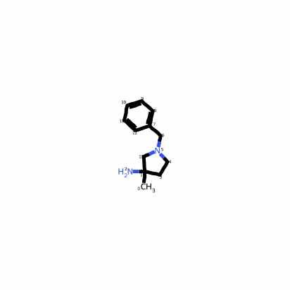 CC1(N)CCN(Cc2ccccc2)C1